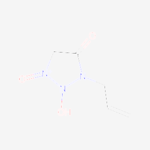 C=CCN1C(=O)C[N+](=O)N1O